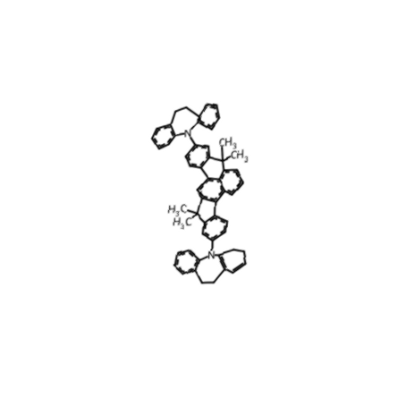 CC1(C)c2cc(N3C4=C(C=CCC4)CCc4ccccc43)ccc2-c2c1cc1c3c(cccc23)C(C)(C)c2cc(N3c4ccccc4CCc4ccccc43)ccc2-1